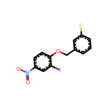 O=[N+]([O-])c1ccc(OCc2cccc(F)c2)c(I)c1